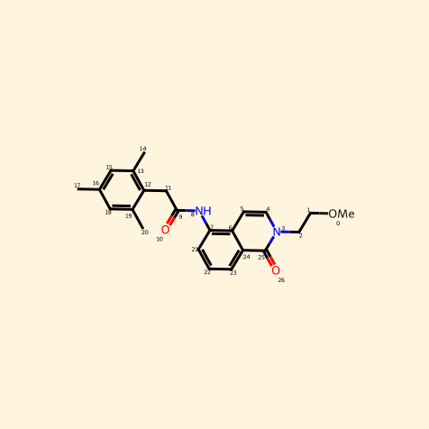 COCCn1ccc2c(NC(=O)Cc3c(C)cc(C)cc3C)cccc2c1=O